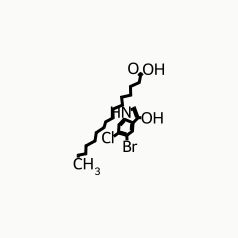 CCCCCCCCCCCCCCCC(=O)O.Oc1c[nH]c2cc(Cl)c(Br)cc12